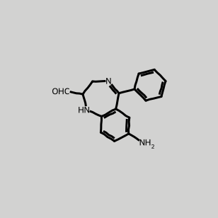 Nc1ccc2c(c1)C(c1ccccc1)=NCC(C=O)N2